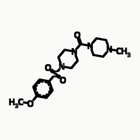 COc1ccc(S(=O)(=O)N2CCN(C(=O)N3CCN(C)CC3)CC2)cc1